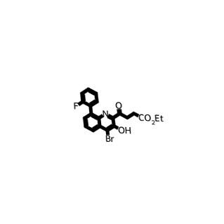 CCOC(=O)CCC(=O)c1nc2c(-c3ccccc3F)cccc2c(Br)c1O